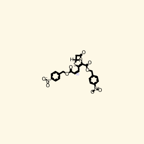 O=C(/C=C\C1=C(C(=O)OCc2ccc([N+](=O)[O-])cc2)N2C(=O)C[C@H]2S1)OCc1ccc([N+](=O)[O-])cc1